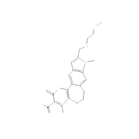 COCCNCc1cc2cc3c(cc2n1C)CCCc1c-3[nH]c(=O)c(C(=O)O)c1O.Cl